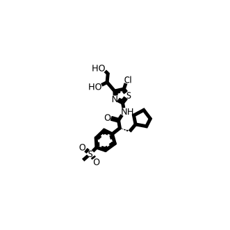 CS(=O)(=O)c1ccc([C@@H](CC2CCCC2)C(=O)Nc2nc(C(O)CO)c(Cl)s2)cc1